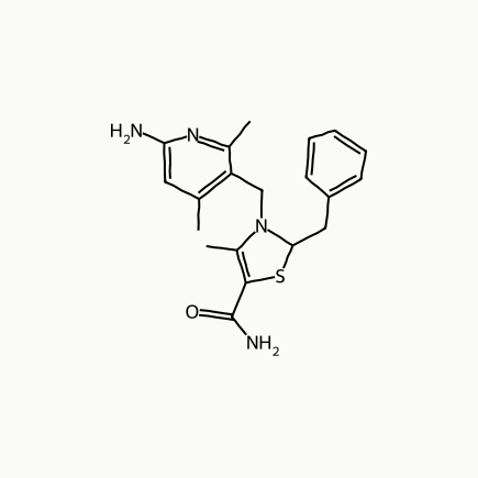 CC1=C(C(N)=O)SC(Cc2ccccc2)N1Cc1c(C)cc(N)nc1C